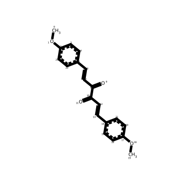 COc1ccc(C=CC(=O)C(=O)C=Cc2ccc(OC)cc2)cc1